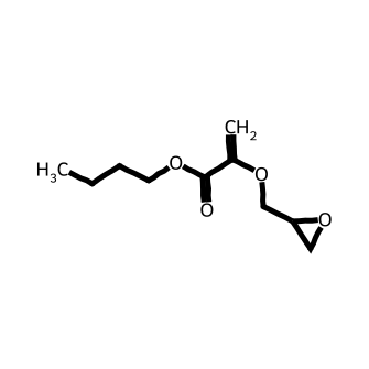 C=C(OCC1CO1)C(=O)OCCCC